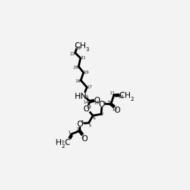 C=CC(=O)OCC(COC(=O)C=C)OC(=O)NCCCCCCC